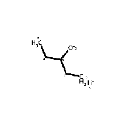 CCC([O-])CC.[Li+]